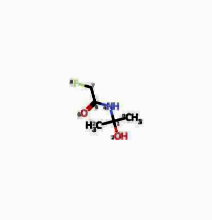 CC(C)(O)NC(=O)CF